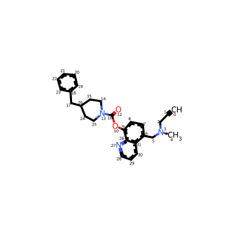 C#CCN(C)Cc1ccc(OC(=O)N2CCC(Cc3ccccc3)CC2)c2ncccc12